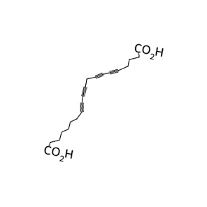 O=C(O)CCCC#CC#CCC#CC#CCCCCCCC(=O)O